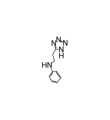 c1ccc(NCCc2nnn[nH]2)cc1